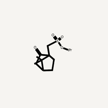 CC(C)OS(=O)(=O)CC12CCC(CC1=O)C2(C)C